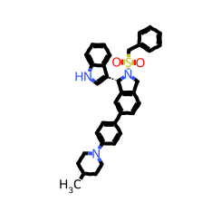 CC1CCN(c2ccc(-c3ccc4c(c3)[C@H](c3c[nH]c5ccccc35)N(S(=O)(=O)Cc3ccccc3)C4)cc2)CC1